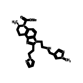 COC(=O)N1c2ccc3c(nc(CCn4cccn4)n3CCNCc3cnn(C)c3)c2CC[C@@H]1C